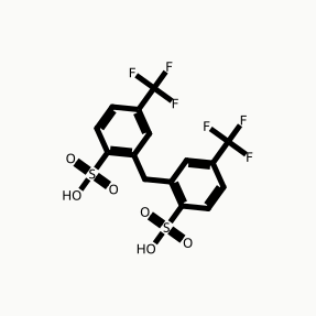 O=S(=O)(O)c1ccc(C(F)(F)F)cc1Cc1cc(C(F)(F)F)ccc1S(=O)(=O)O